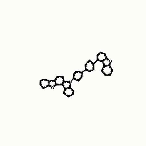 c1ccc2c(c1)oc1c2ccc2c1c1ccccc1n2-c1ccc(-c2ccc(-c3cccc4oc5ccccc5c34)cc2)cc1